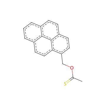 CC(=S)OCc1ccc2ccc3cccc4ccc1c2c34